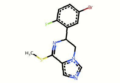 CSC1=NC(c2cc(Br)ccc2F)Cn2cncc21